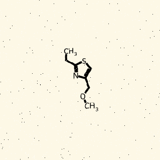 CCc1nc(COC)cs1